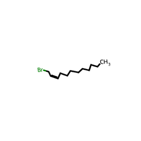 CCCCCCCCC/C=C\CBr